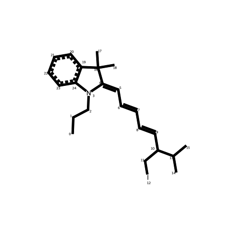 CCCN1C(=CC=CC=CC(CI)C(C)C)C(C)(C)c2ccccc21